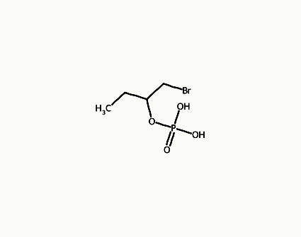 CCC(CBr)OP(=O)(O)O